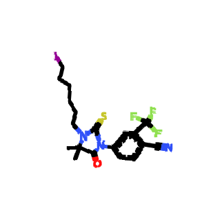 CC1(C)C(=O)N(c2ccc(C#N)c(C(F)(F)F)c2)C(=S)N1CCCCCCI